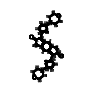 O=C1Sc2cc3c(cc2=C1c1ccc(N2CCOCC2)s1)SC(=O)C=3c1ccc(N2CCOCC2)s1